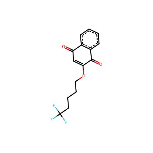 O=C1C=C(OCCCCC(F)(F)F)C(=O)c2ccccc21